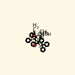 C=CCOC(=O)C(N1C(=O)[C@@H](SC(c2ccccc2)(c2ccccc2)c2ccccc2)[C@H]1CCO[Si](C)(C)C(C)(C)C)=P(c1ccccc1)(c1ccccc1)c1ccccc1